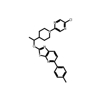 Cc1ccc(-c2ccc3nc(OC(C)C4CCN(c5cnc(Cl)cn5)CC4)sc3n2)cc1